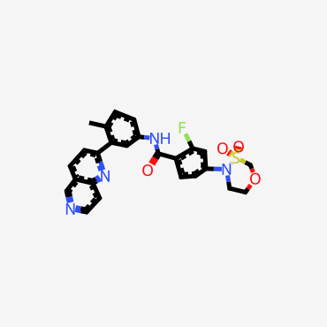 Cc1ccc(NC(=O)c2ccc(N3CCOCS3(=O)=O)cc2F)cc1-c1ccc2cnccc2n1